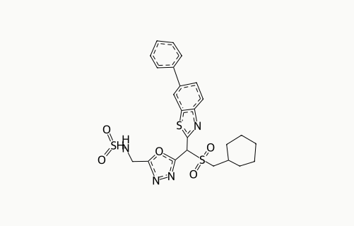 O=[SH](=O)NCc1nnc(C(c2nc3ccc(-c4ccccc4)cc3s2)S(=O)(=O)CC2CCCCC2)o1